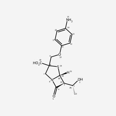 C[C@@H](O)[C@H]1C(=O)N2CC(COc3ccc(N)cc3)(C(=O)O)S[C@H]12